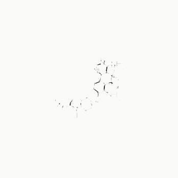 CC(C)(C)OC(=O)N[C@H]1CC[C@H](Oc2ccc3c(c2N)C(=O)C(C)(C)c2c(N)ncnc2-3)CC1